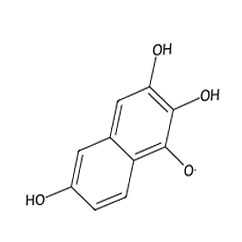 [O]c1c(O)c(O)cc2cc(O)ccc12